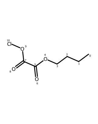 CCCCOC(=O)C(=O)OCl